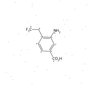 Nc1cc(C(=O)O)ccc1CC(F)(F)F